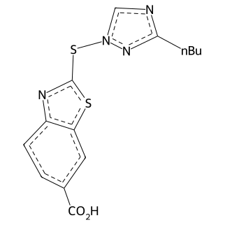 CCCCc1ncn(Sc2nc3ccc(C(=O)O)cc3s2)n1